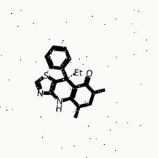 CC[C@]1(c2ccccc2)C2=C(Nc3ncsc31)C(C)CC(C)C2=O